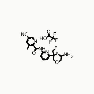 Cc1cc(C#N)cnc1C(=O)Nc1cccc(C2(CF)COCC(N)=N2)n1.O=C(O)C(F)(F)F